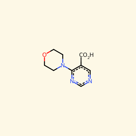 O=C(O)c1cncnc1N1CCOCC1